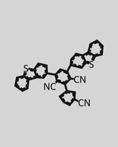 N#Cc1cccc(-c2c(C#N)c(-c3ccc4c(c3)sc3ccccc34)cc(-c3ccc4sc5ccccc5c4c3)c2C#N)c1